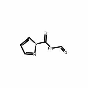 O=CNC(=O)n1cccn1